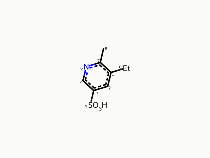 CCc1cc(S(=O)(=O)O)cnc1C